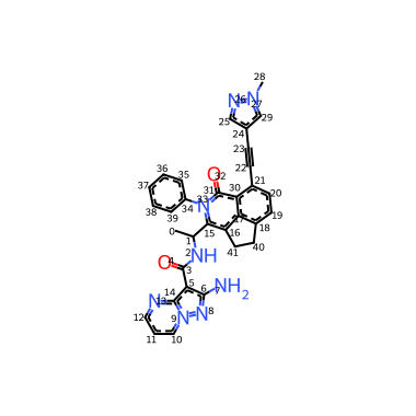 CC(NC(=O)c1c(N)nn2cccnc12)c1c2c3c(ccc(C#Cc4cnn(C)c4)c3c(=O)n1-c1ccccc1)CC2